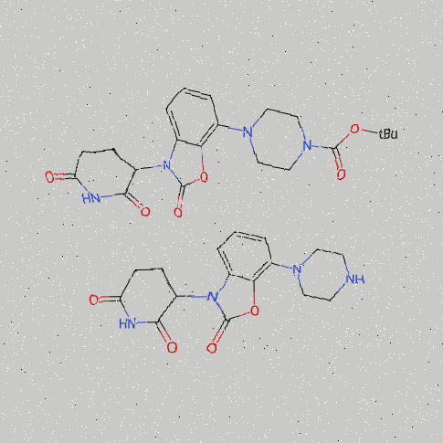 CC(C)(C)OC(=O)N1CCN(c2cccc3c2oc(=O)n3C2CCC(=O)NC2=O)CC1.O=C1CCC(n2c(=O)oc3c(N4CCNCC4)cccc32)C(=O)N1